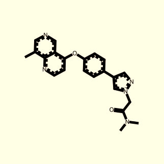 Cc1cncc2c(Oc3ccc(-c4cnn(CC(=O)N(C)C)c4)cc3)ccnc12